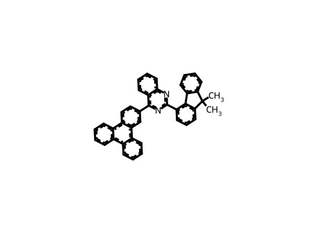 CC1(C)c2ccccc2-c2c(-c3nc(-c4ccc5c6ccccc6c6ccccc6c5c4)c4ccccc4n3)cccc21